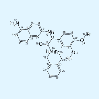 CCOc1cc(C(Nc2ccc3c(N)nccc3c2)C(=O)NCc2ccccc2CC(C)C)ccc1OC(C)C